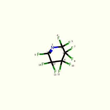 FC1=NC(F)(F)C(F)(F)C(F)(F)C1(F)F